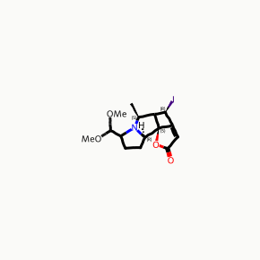 COC(OC)C1CC[C@H]2N1[C@@H](C)C1[C@@H](I)C3=CC(=O)O[C@]312